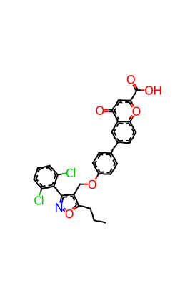 CCCc1onc(-c2c(Cl)cccc2Cl)c1COc1ccc(-c2ccc3oc(C(=O)O)cc(=O)c3c2)cc1